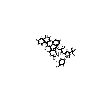 Cc1ccc(-n2nc(C(C)(C)C)cc2NC(=O)Nc2ccccc2C(C(=O)c2ccnc3ccccc23)C2CCNCC2)cc1